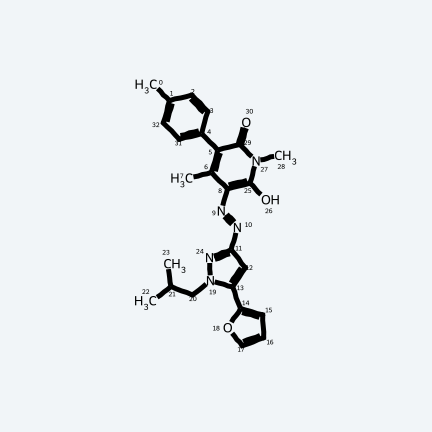 Cc1ccc(-c2c(C)c(N=Nc3cc(-c4ccco4)n(CC(C)C)n3)c(O)n(C)c2=O)cc1